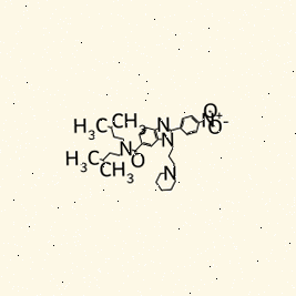 CC(C)CCN(CCC(C)C)C(=O)c1ccc2nc(-c3ccc([N+](=O)[O-])cc3)n(CCCN3CCCCC3)c2c1